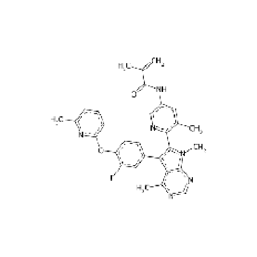 C=C(C)C(=O)Nc1cnc(-c2c(-c3ccc(Oc4cccc(C)n4)c(F)c3)c3c(C)ncnc3n2C)c(C)c1